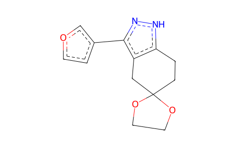 c1cc(-c2n[nH]c3c2CC2(CC3)OCCO2)co1